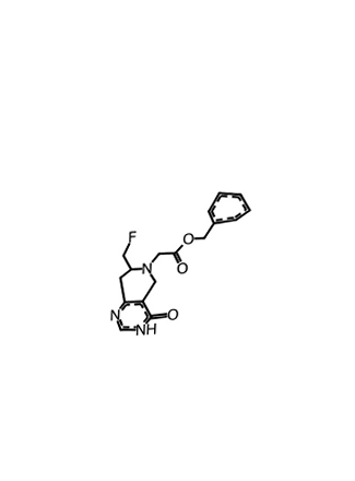 O=C(CN1Cc2c(nc[nH]c2=O)CC1CF)OCc1ccccc1